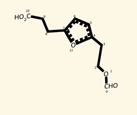 O=COCCc1ccc(CCC(=O)O)o1